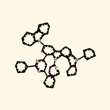 c1ccc(-c2cc(-c3cc(-n4c5ccccc5c5ccccc54)cc4c5ccc6c(c7ccccc7n6-c6ccccc6)c5n(-c5ccccc5)c34)nc(-c3ccccc3)n2)cc1